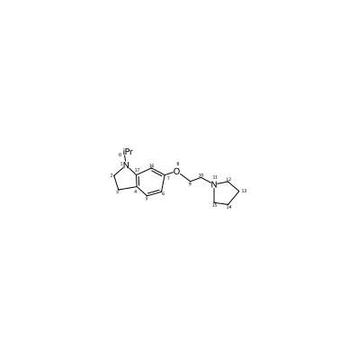 CC(C)N1CCc2ccc(OCCN3CCCC3)cc21